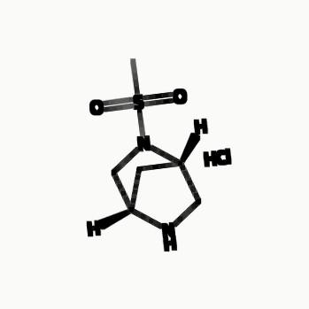 CS(=O)(=O)N1C[C@@H]2C[C@H]1CN2.Cl